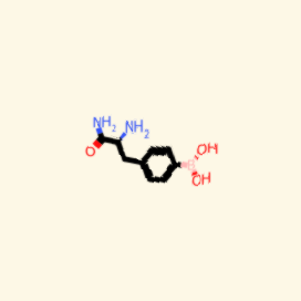 NC(=O)[C@@H](N)Cc1ccc(B(O)O)cc1